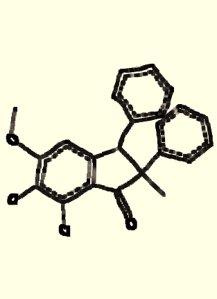 COc1cc2c(c(Cl)c1Cl)C(=O)C(C)(c1ccccc1)C2c1ccccc1